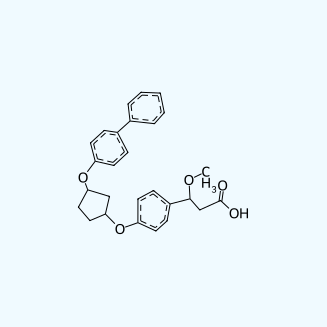 COC(CC(=O)O)c1ccc(OC2CCC(Oc3ccc(-c4ccccc4)cc3)C2)cc1